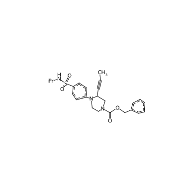 CC#CC1CN(C(=O)OCc2ccccc2)CCN1c1ccc(S(=O)(=O)NC(C)C)cc1